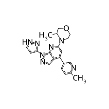 Cc1ccc(-c2cc(N3CCOCC3C)nc3c2cnn3-c2cc[nH]n2)cn1